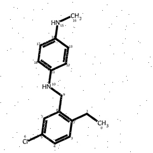 CCc1ccc(Cl)cc1CNc1ccc(NC)cc1